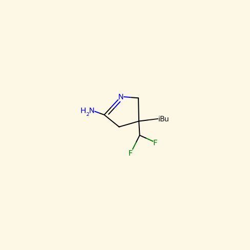 CCC(C)C1(C(F)F)CN=C(N)C1